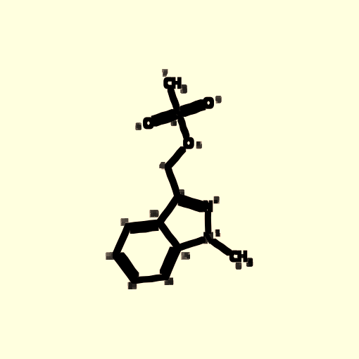 Cn1nc(COS(C)(=O)=O)c2ccccc21